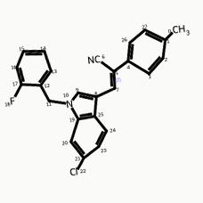 Cc1ccc(/C(C#N)=C/c2cn(Cc3ccccc3F)c3cc(Cl)ccc23)cc1